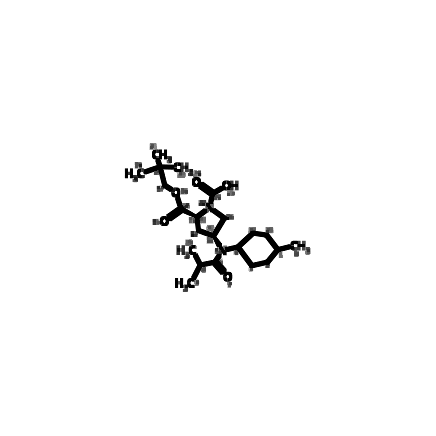 CC1CCC(N(C(=O)C(C)C)[C@H]2C[C@@H](C(=O)OCC(C)(C)C)N(C(=O)O)C2)CC1